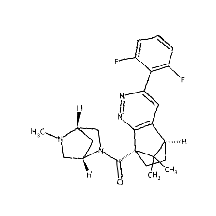 CN1C[C@@H]2C[C@H]1CN2C(=O)[C@]12CC[C@H](c3cc(-c4c(F)cccc4F)nnc31)C2(C)C